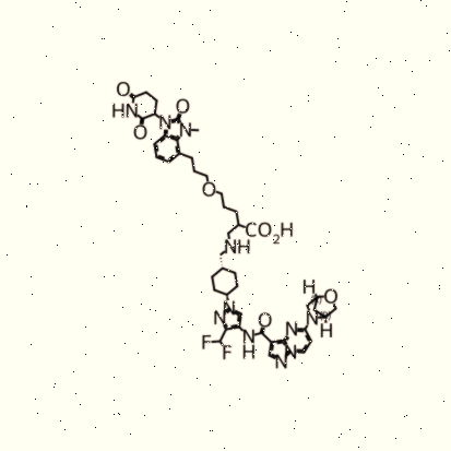 Cn1c(=O)n(C2CCC(=O)NC2=O)c2cccc(CCCOCCCC(CNC[C@H]3CC[C@H](n4cc(NC(=O)c5cnn6ccc(N7C[C@H]8C[C@@H]7CO8)nc56)c(C(F)F)n4)CC3)C(=O)O)c21